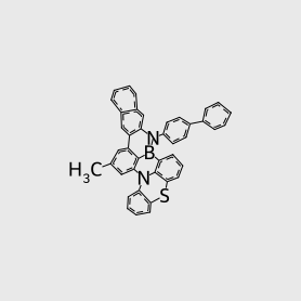 Cc1cc2c3c(c1)N1c4ccccc4Sc4cccc(c41)B3N(c1ccc(-c3ccccc3)cc1)c1cc3ccccc3cc1-2